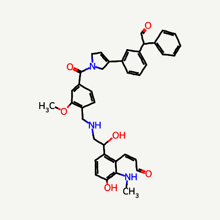 CNc1c(O)ccc(C(O)CNCc2ccc(C(=O)N3CC=C(c4cccc(C(C=O)c5ccccc5)c4)C3)cc2OC)c1/C=C\C=O